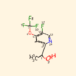 CC(O)c1cc(OC(F)(F)F)c(F)cn1